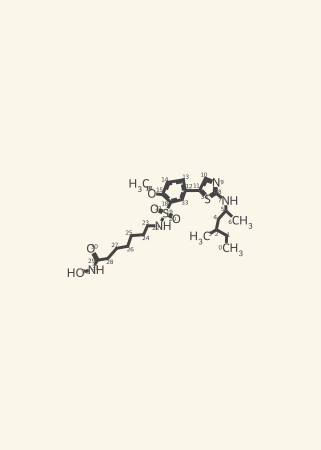 CCC(C)CC(C)Nc1ncc(-c2ccc(OC)c(S(=O)(=O)NCCCCCCC(=O)NO)c2)s1